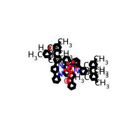 Cc1cc(C)c(B(c2ccc3c(c2)c2ccc4c5ccccc5n(-c5cccc(-n6c7ccccc7c7ccc8c9cc(B(c%10c(C)cc(C)cc%10C)c%10c(C)cc(C)cc%10C)ccc9n(-c9ccc%10oc%11ccccc%11c%10c9)c8c76)c5)c4c2n3-c2ccc3oc4ccccc4c3c2)c2c(C)cc(C)cc2C)c(C)c1